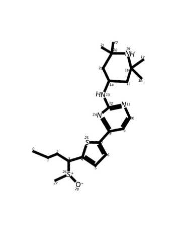 CCCC(c1ccc(-c2ccnc(NC3CC(C)(C)NC(C)(C)C3)n2)s1)[S+](C)[O-]